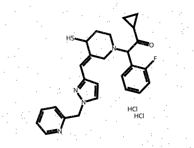 Cl.Cl.O=C(C1CC1)C(c1ccccc1F)N1CCC(S)C(=Cc2ccn(Cc3ccccn3)n2)C1